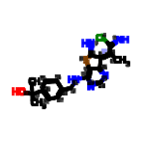 C/C(C(=N)Cl)=C1/C(=N)Sc2c(NCc3ccc(C(C)(C)O)cc3)ncnc21